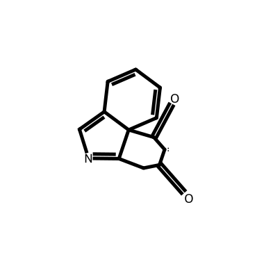 O=C1[C]C(=O)C23C=CC=CC2=CN=C3C1